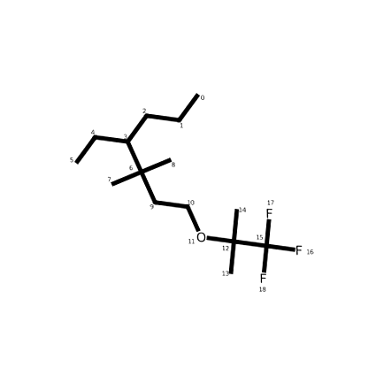 CCCC(CC)C(C)(C)CCOC(C)(C)C(F)(F)F